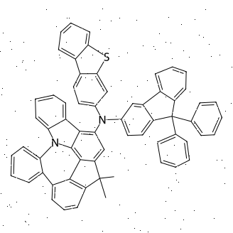 CC1(C)c2cccc3c2-c2c1cc(N(c1ccc4c(c1)-c1ccccc1C4(c1ccccc1)c1ccccc1)c1ccc4c(c1)sc1ccccc14)c1c4ccccc4n(c21)-c1ccccc1-3